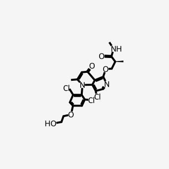 CNC(=O)[C@@H](C)COc1ncc(Cl)c2c1c(=O)cc(C)n2-c1c(Cl)cc(OCCO)cc1Cl